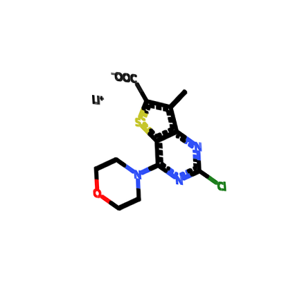 Cc1c(C(=O)[O-])sc2c(N3CCOCC3)nc(Cl)nc12.[Li+]